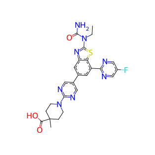 CCN(C(N)=O)c1nc2cc(-c3cnc(N4CCC(C)(C(=O)O)CC4)nc3)cc(-c3ncc(F)cn3)c2s1